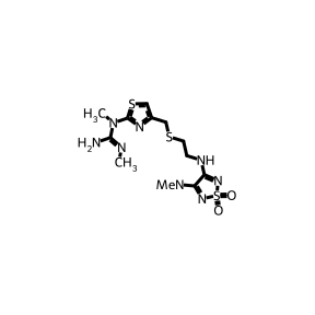 CN=C(N)N(C)c1nc(CSCCNC2=NS(=O)(=O)N=C2NC)cs1